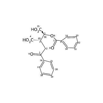 O=C(C[C@H](C(=O)O)[C@H](OC(=O)c1ccccc1)C(=O)O)c1ccccc1